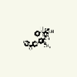 COc1cc(N2CCC(C(=O)N3CCOCC3)CC2)ccc1Nc1nc(NC2CCCCC2)c2nc[nH]c2n1